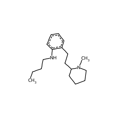 CCCCNc1ccccc1CCC1CCCCN1C